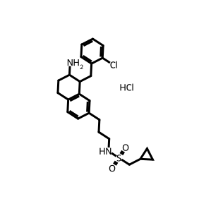 Cl.NC1CCc2ccc(CCCNS(=O)(=O)CC3CC3)cc2C1Cc1ccccc1Cl